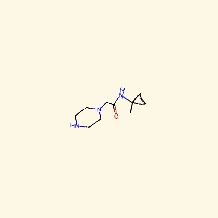 CC1(NC(=O)CN2CCNCC2)CC1